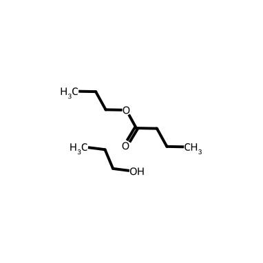 CCCO.CCCOC(=O)CCC